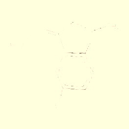 CC1C/C(=C/C(=O)O)c2cc(F)ccc21